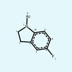 CC(=O)N1CCc2cc(F)ccc21